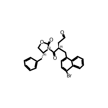 O=CC[C@@H](Cc1ccc(Br)c2ccccc12)C(=O)N1C(=O)OC[C@H]1Cc1ccccc1